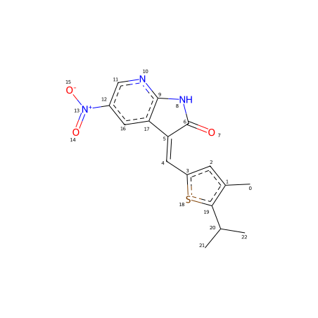 Cc1cc(C=C2C(=O)Nc3ncc([N+](=O)[O-])cc32)sc1C(C)C